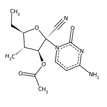 CC[C@H]1O[C@@](C#N)(n2ccc(N)nc2=O)[C@@H](OC(C)=O)[C@@H]1C